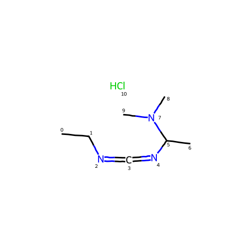 CCN=C=NC(C)N(C)C.Cl